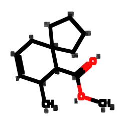 COC(=O)C1C(C)C=CCC12CCCC2